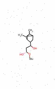 CC1C2CC(C(O)C[C@@H](O)OC(C)(C)C)C(C2)C1C